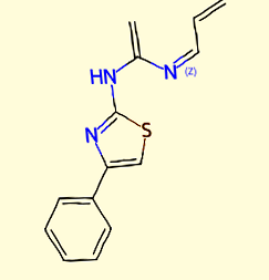 C=C/C=N\C(=C)Nc1nc(-c2ccccc2)cs1